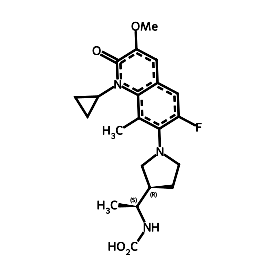 COc1cc2cc(F)c(N3CC[C@@H]([C@H](C)NC(=O)O)C3)c(C)c2n(C2CC2)c1=O